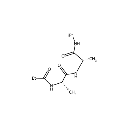 CCC(=O)N[C@@H](C)C(=O)N[C@@H](C)C(=O)NC(C)C